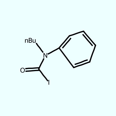 CCCCN(C(=O)I)c1ccccc1